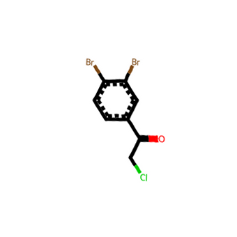 O=C(CCl)c1ccc(Br)c(Br)c1